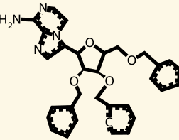 Nc1nccn2c(C3OC(COCc4ccccc4)[C@@H](OCc4ccccc4)[C@H]3OCc3ccccc3)cnc12